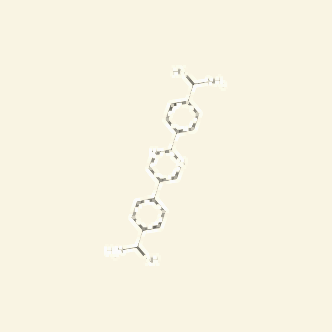 N=C(N)c1ccc(-c2cnc(-c3ccc(C(=N)N)cc3)nc2)cc1